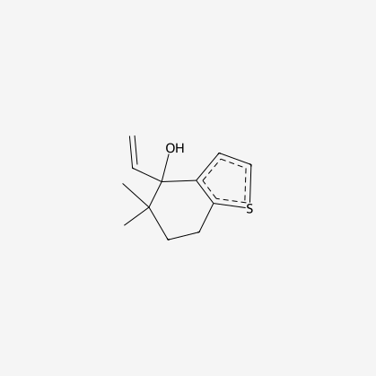 C=CC1(O)c2ccsc2CCC1(C)C